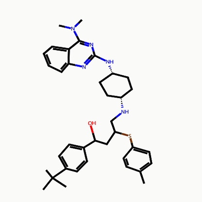 Cc1ccc(SC(CN[C@H]2CC[C@@H](Nc3nc(N(C)C)c4ccccc4n3)CC2)CC(O)c2ccc(C(C)(C)C)cc2)cc1